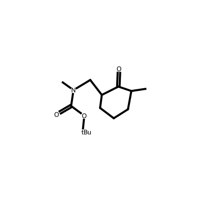 CC1CCCC(CN(C)C(=O)OC(C)(C)C)C1=O